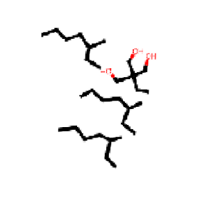 CCC(CO)(CO)CO.CCCCC(C)CC.CCCCC(C)CC.CCCCC(C)CC